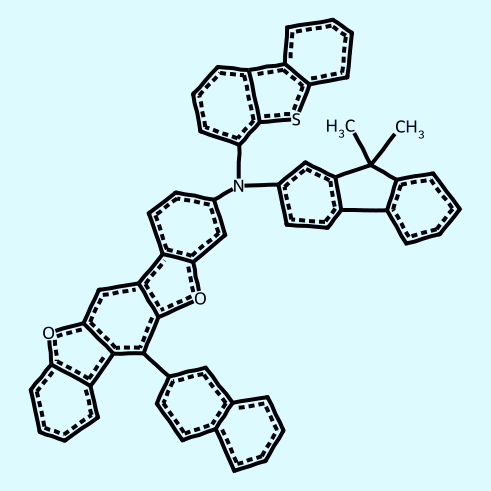 CC1(C)c2ccccc2-c2ccc(N(c3ccc4c(c3)oc3c(-c5ccc6ccccc6c5)c5c(cc34)oc3ccccc35)c3cccc4c3sc3ccccc34)cc21